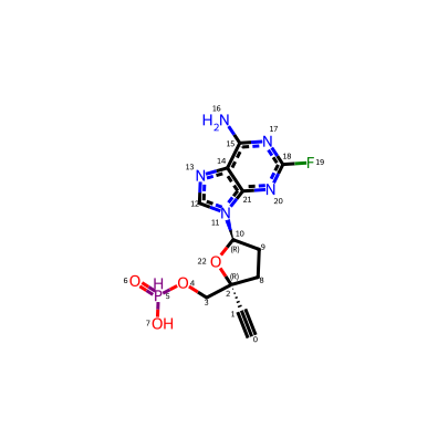 C#C[C@@]1(CO[PH](=O)O)CC[C@H](n2cnc3c(N)nc(F)nc32)O1